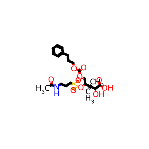 CC(=O)NCCCS(=O)(=O)OC(COC(=O)OCCCc1ccccc1)C(C)(C)[C@@H](O)C(=O)O